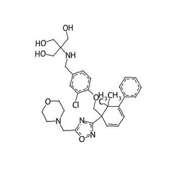 CC1(C)C(c2ccccc2)=CC=CC1(COc1ccc(CNC(CO)(CO)CO)cc1Cl)c1noc(CN2CCOCC2)n1